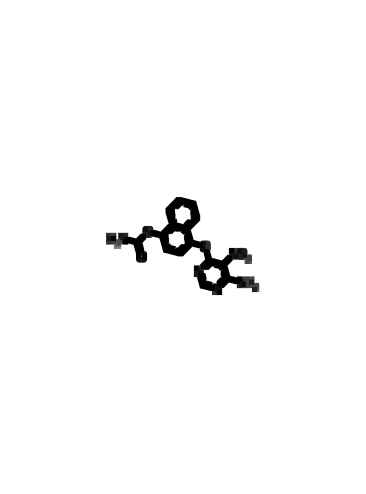 NC(=O)Oc1ccc(Oc2ncnc(N)c2[N+](=O)[O-])c2ccccc12